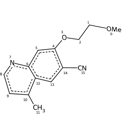 COCCOc1cc2nccc(C)c2cc1C#N